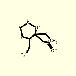 CCC1CCSOC1(CC)CC=O